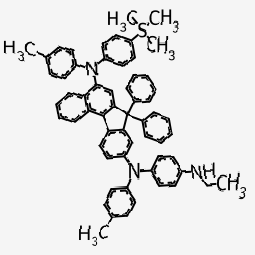 CCNc1ccc(N(c2ccc(C)cc2)c2ccc3c(c2)C(c2ccccc2)(c2ccccc2)c2cc(N(c4ccc(C)cc4)c4ccc(S(C)(C)C)cc4)c4ccccc4c2-3)cc1